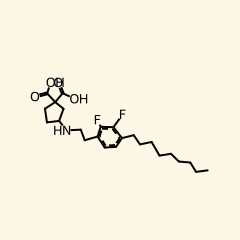 CCCCCCCCCc1ccc(CCNC2CCC(C(=O)O)(C(=O)O)C2)c(F)c1F